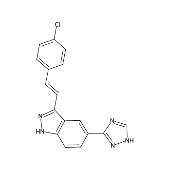 Clc1ccc(C=Cc2n[nH]c3ccc(-c4nc[nH]n4)cc23)cc1